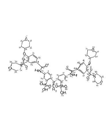 C=C(c1ccc(NC(=O)c2ccc(OC3CCOCC3)c(S(=O)(=O)N3CCOCC3)c2)cc1S(=O)(=O)O)c1ccc(NC(=O)c2ccc(OC3CCOCC3)c(S(=O)(=O)N3CCOCC3)c2)cc1S(=O)(=O)O